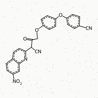 N#Cc1ccc(Oc2ccc(OCC(=O)C(C#N)c3ccc4ccc([N+](=O)[O-])cc4n3)cc2)cc1